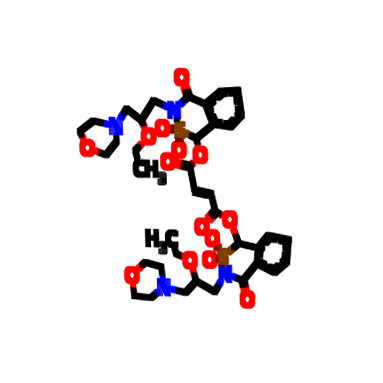 CCOC(CN1CCOCC1)CN1C(=O)c2ccccc2C(OC(=O)/C=C/C(=O)OC2c3ccccc3C(=O)N(CC(CN3CCOCC3)OCC)S2(=O)=O)S1(=O)=O